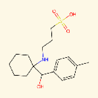 Cc1ccc(C(O)C2(NCCCS(=O)(=O)O)CCCCC2)cc1